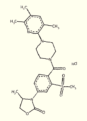 Cc1cc(C)c(N2CCN(C(=O)c3ccc(N4C(=O)OCC4C)cc3S(C)(=O)=O)CC2)nc1C.Cl